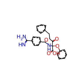 N=C(N)c1ccc(C(=O)NC(Oc2ccccc2)(C(=O)O)C(=O)CCc2ccccc2)cc1